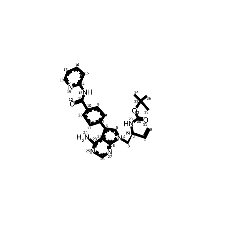 C=C[C@@H](Cn1cc(-c2ccc(C(=O)Nc3ccccn3)cc2)c2c(N)ncnc21)NC(=O)OC(C)(C)C